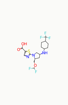 O=C(O)c1cnc(N2C[C@@H](NC3CCC(C(F)(F)F)CC3)C[C@H]2COC(F)F)s1